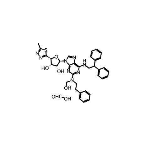 Cc1nnc([C@H]2O[C@@H](n3cnc4c(NCC(c5ccccc5)c5ccccc5)nc(N(CO)CCc5ccccc5)nc43)[C@H](O)[C@@H]2O)s1.O=CO